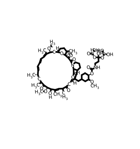 COC1CC(CC2[C@H]3CCCN4C(=O)C(=O)C5(O)O[C@@H](CCC5C)C[C@H](OC)/C(C)=C/C=C/C=C/[C@@H](C)CC(C)C(=O)[C@H](OC)C(O)/C(C)=C/C(C)C(=O)C[C@@H]2OC(=O)C34)CC[C@H]1OC(=O)NCCC(O)(OP(O)O)O[PH](=O)O